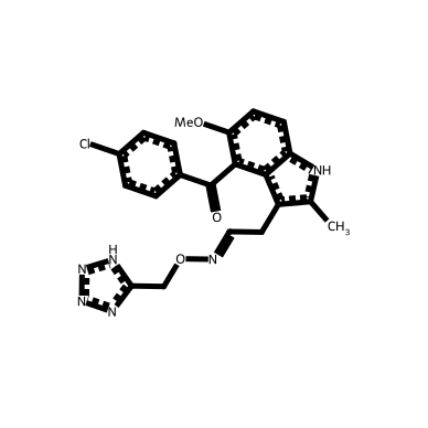 COc1ccc2[nH]c(C)c(CC=NOCc3nnn[nH]3)c2c1C(=O)c1ccc(Cl)cc1